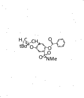 CNS(=O)(=O)c1cc(O[Si](C)(C)C(C)(C)C)ccc1OC(=O)c1ccccc1